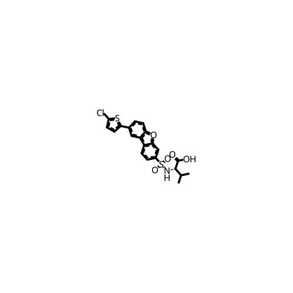 CC(C)[C@H](NS(=O)(=O)c1ccc2c(c1)oc1ccc(-c3ccc(Cl)s3)cc12)C(=O)O